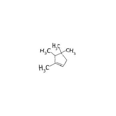 CC1=CCC(C)(C)C1C